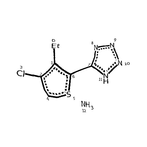 CCc1c(Cl)csc1-c1nnn[nH]1.N